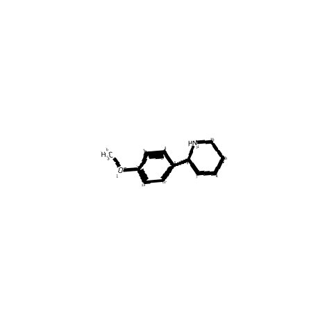 COc1ccc(C2[CH]CCCN2)cc1